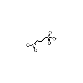 [O]S(=O)(=O)CCC[N+](=O)[O-]